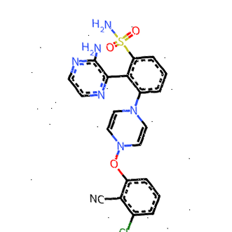 N#Cc1c(Cl)cccc1ON1C=CN(c2cccc(S(N)(=O)=O)c2-c2nccnc2N)C=C1